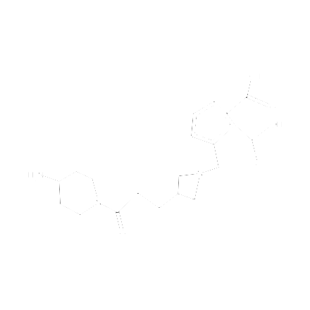 CC(=O)c1cccc(CN2CC(CCC(=O)N3CCC(N)CC3)C2)c1C(C)O